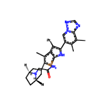 Cc1c(-c2[nH]c3sc(C4C[C@@H]5CC[C@@H](C4)N5CC(N)=O)c(C)c3c2C(C)C)cn2ncnc2c1C